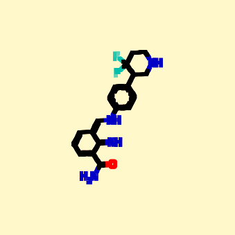 N=C1C(C(N)=O)=CC=C/C1=C/Nc1ccc(C2CNCCC2(F)F)cc1